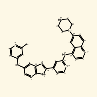 Cc1cc(Nc2cnc3[nH]c(-c4ccnc(Nc5ccnc6ccc(N7CCNCC7)cc56)c4)nc3c2)ccn1